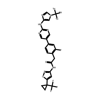 [2H]C([2H])([2H])n1cnc(Nc2ncc(-c3ccc(CC(=O)Nc4cc(C5(C(F)(F)F)CC5)on4)c(F)c3)cn2)c1